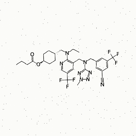 CCCC(=O)O[C@H]1CC[C@H](CN(CC)c2ncc(C(F)(F)F)cc2CN(Cc2cc(C#N)cc(C(F)(F)F)c2)c2nnn(C)n2)CC1